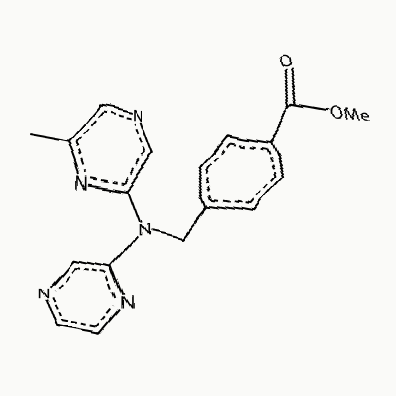 COC(=O)c1ccc(CN(c2cnccn2)c2cncc(C)n2)cc1